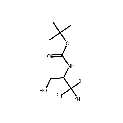 [2H]C([2H])([2H])C(CO)NC(=O)OC(C)(C)C